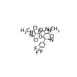 Cn1nc(Cl)c(C(=O)O/C(=C(/C#N)c2ccc(C(F)(F)F)cc2)c2c(Cl)nn(C)c2Cl)c1Cl